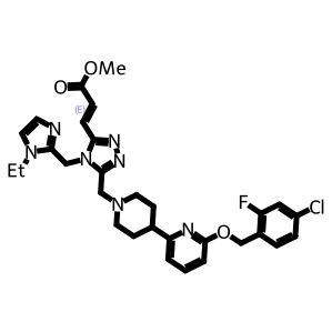 CCn1ccnc1Cn1c(/C=C/C(=O)OC)nnc1CN1CCC(c2cccc(OCc3ccc(Cl)cc3F)n2)CC1